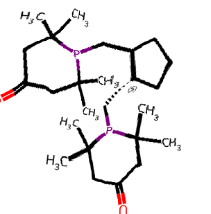 CC1(C)CC(=O)CC(C)(C)P1CC1CCC[C@@H]1CP1C(C)(C)CC(=O)CC1(C)C